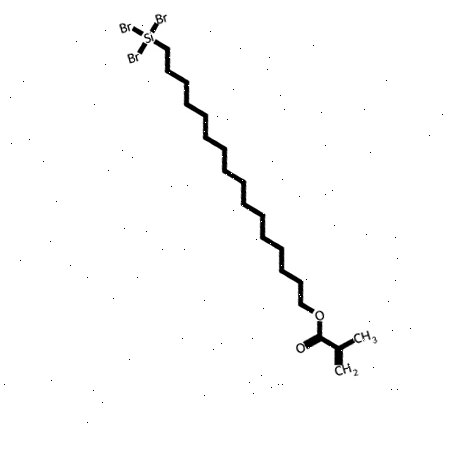 C=C(C)C(=O)OCCCCCCCCCCCCCCCC[Si](Br)(Br)Br